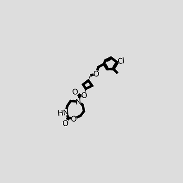 Cc1cc(COC[C@H]2C[C@@H](OC(=O)N3CCCOC(=O)NCC3)C2)ccc1Cl